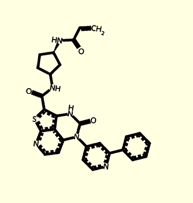 C=CC(=O)N[C@@H]1CCC(NC(=O)c2sc3nccc4c3c2NC(=O)N4c2ccnc(-c3ccccc3)c2)C1